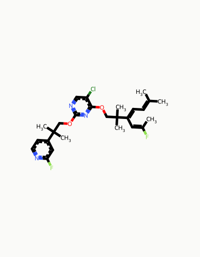 CC(C)=C/C=C(\C=C(/C)F)C(C)(C)COc1nc(OCC(C)(C)c2ccnc(F)c2)ncc1Cl